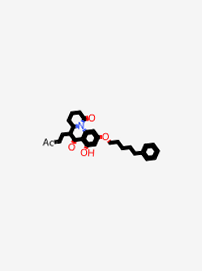 CC(=O)CCC1C(=O)c2c(O)cc(OCCCCCc3ccccc3)cc2N2C(=O)CCCC12